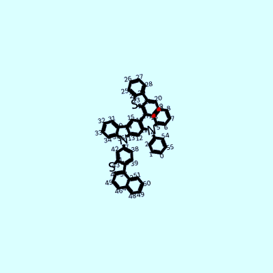 c1ccc(N(c2ccccc2)c2cc3c(cc2-c2cccc4c2sc2ccccc24)c2ccccc2n3-c2ccc3c(c2)sc2ccc4ccccc4c23)cc1